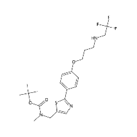 CN(Cc1cnc(-c2ccc(OCCCNCC(F)(F)F)cc2)s1)C(=O)OC(C)(C)C